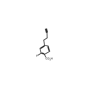 C#CCCc1ccc(C(=O)O)c(F)c1